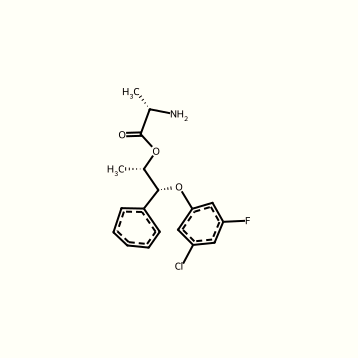 C[C@H](N)C(=O)O[C@@H](C)[C@H](Oc1cc(F)cc(Cl)c1)c1ccccc1